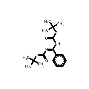 CC(C)(C)OC(=O)/N=C(/NC(=O)OC(C)(C)C)c1cc[c]cc1